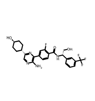 Nc1ncc([C@H]2CC[C@H](O)CC2)nc1-c1ccc(C(=O)N[C@H](CO)c2cccc(C(F)(F)F)c2)c(F)c1